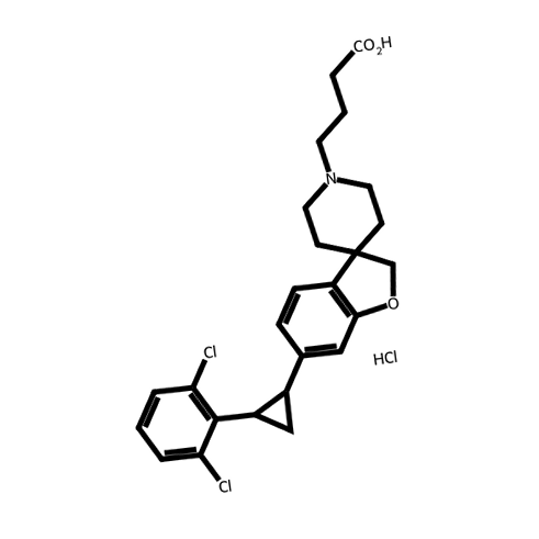 Cl.O=C(O)CCCN1CCC2(CC1)COc1cc(C3CC3c3c(Cl)cccc3Cl)ccc12